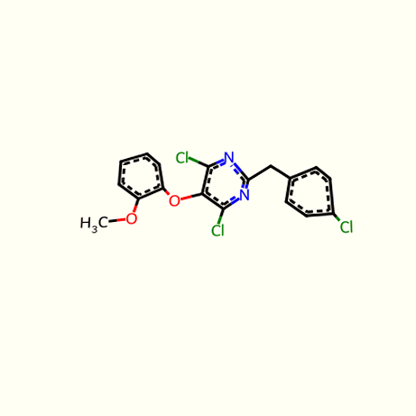 COc1ccccc1Oc1c(Cl)nc(Cc2ccc(Cl)cc2)nc1Cl